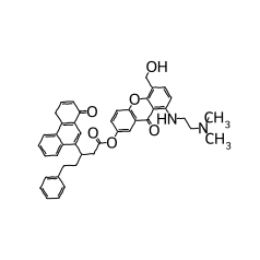 CN(C)CCNc1ccc(CO)c2oc3ccc(OC(=O)CC(CCc4ccccc4)c4cc5c(c6ccccc46)CC=CC5=O)cc3c(=O)c12